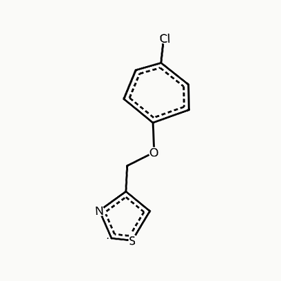 Clc1ccc(OCc2cs[c]n2)cc1